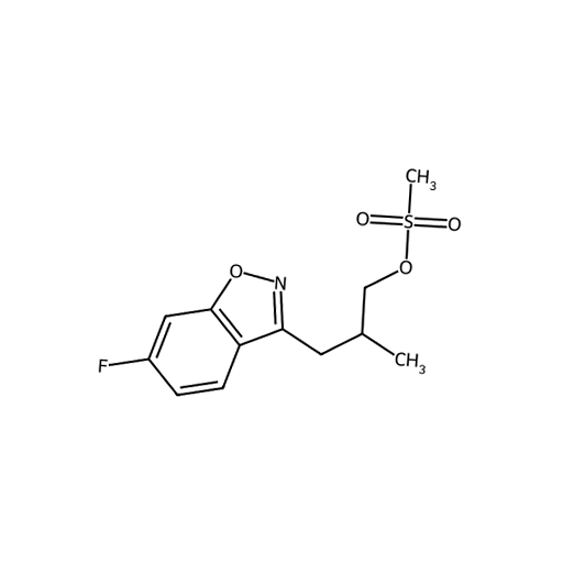 CC(COS(C)(=O)=O)Cc1noc2cc(F)ccc12